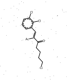 CC(=O)/C(=C\c1cccc(Cl)c1Cl)C(=O)CCCCCl